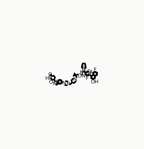 CCc1c(F)ccc2cc(O)cc(-c3ncc4c(N5CC6CCC(C5)N6)nc(OCC5(CN6CCC(CN7CCN(c8ccc9c(cnn9C9CCC(=O)NC9=O)c8)CC7)CC6)CC5)nc4c3F)c12